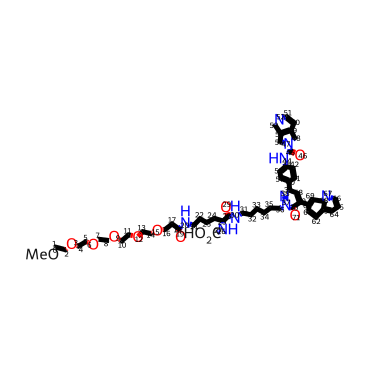 COCCOCCOCCOCCOCCOCCC(=O)NCCCCC(NC(=O)O)C(=O)NCCCCCCn1nc(-c2ccc(NC(=O)N3Cc4ccncc4C3)cc2)cc(-c2ccc3cccnc3c2)c1=O